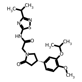 COc1ccc([C@@H]2CC(=O)N(CC(=O)Nc3nc(C(C)C)ns3)C2)cc1OC(C)C